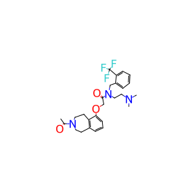 CC(=O)N1CCc2cccc(OCC(=O)N(CCN(C)C)Cc3ccccc3C(F)(F)F)c2CC1